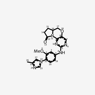 COc1cc(Nc2ncc3c(n2)N2C(=O)CCC2CO3)ccc1-n1cnc(C)c1